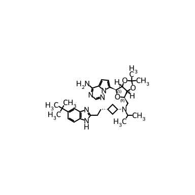 CC(C)N(C[C@H]1O[C@@H](c2ccc3c(N)ncnn23)[C@@H]2OC(C)(C)O[C@@H]21)[C@H]1C[C@@H](CCc2nc3cc(C(C)(C)C)ccc3[nH]2)C1